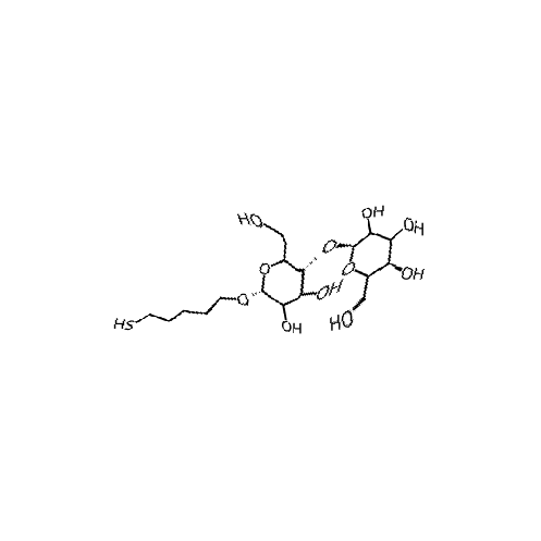 OCC1O[C@@H](O[C@H]2C(CO)O[C@@H](OCCCCCS)C(O)C2O)C(O)C(O)[C@H]1O